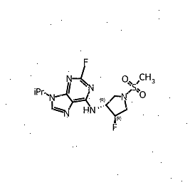 CC(C)n1cnc2c(N[C@@H]3CN(S(C)(=O)=O)C[C@H]3F)nc(F)nc21